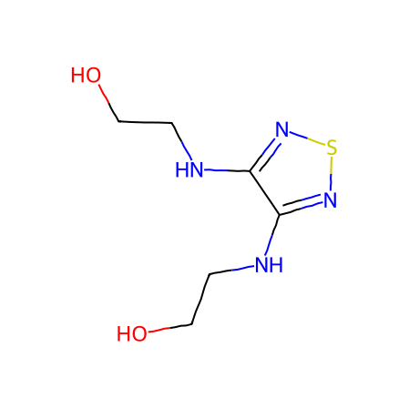 OCCNc1nsnc1NCCO